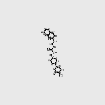 Cc1cc(-c2ccc(CNC(=O)CCCc3ccc4cccnc4n3)cc2)ccc1Cl